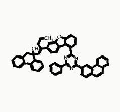 C/C=C\C(=C/C1(C)Cc2ccccc2-c2ccccc21)c1ccc2c(c1)oc1cccc(-c3nc(-c4ccccc4)nc(-c4ccc5ccc6ccccc6c5c4)n3)c12